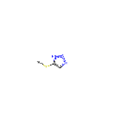 N#CSc1[c]nn[nH]1